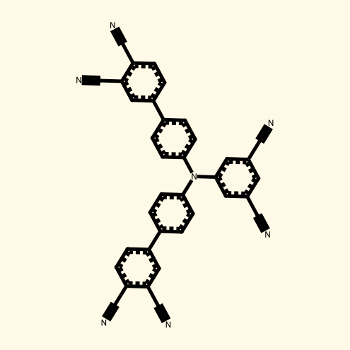 N#Cc1cc(C#N)cc(N(c2ccc(-c3ccc(C#N)c(C#N)c3)cc2)c2ccc(-c3ccc(C#N)c(C#N)c3)cc2)c1